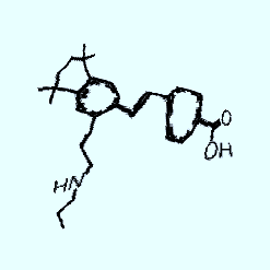 CCCNCCCc1cc2c(cc1/C=C/c1ccc(C(=O)O)cc1)C(C)(C)CCC2(C)C